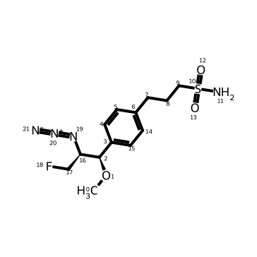 CO[C@H](c1ccc(CCCS(N)(=O)=O)cc1)[C@@H](CF)N=[N+]=[N-]